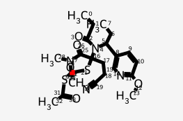 CCC(=O)N(C(CC)c1ccc(OC)nc1)C(CCC#N)(SC(C)=O)C(=O)N(C)CSC(C)=O